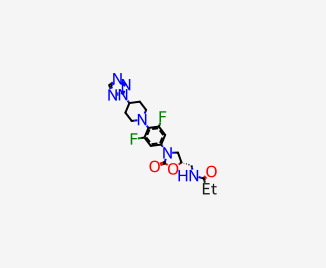 CCC(=O)NC[C@H]1CN(c2cc(F)c(N3CCC(n4ncnn4)CC3)c(F)c2)C(=O)O1